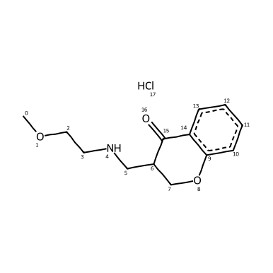 COCCNCC1COc2ccccc2C1=O.Cl